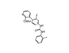 COc1ncccc1-c1ccc(NC(=O)Nc2ccccc2C)cc1F